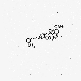 COc1ccc2nccc([C@H](O)CC[C@@H]3CCN(CCCCc4cccc(C)c4)C[C@@H]3C(=O)O)c2c1